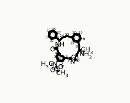 CN(c1cc2cc(c1)-c1nnc(o1)C(C)(N)Cc1cccc(c1)CCC(c1ccccc1)NC2=O)S(C)(=O)=O